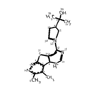 Cc1nnc2c(c1C)C1NC=NC(N3CCC(C(C)(C)O)C3)=C1S2